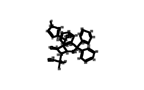 Cn1ccc(C(O)C2C(=O)N([Si](C)(C)C(C)(C)C)C2SC(c2ccccc2)(c2ccccc2)c2ccccc2)n1